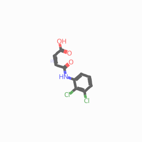 O=C(O)/C=C\C(=O)Nc1cccc(Cl)c1Cl